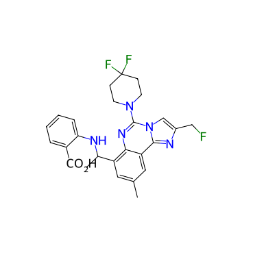 Cc1cc(C(C)Nc2ccccc2C(=O)O)c2nc(N3CCC(F)(F)CC3)n3cc(CF)nc3c2c1